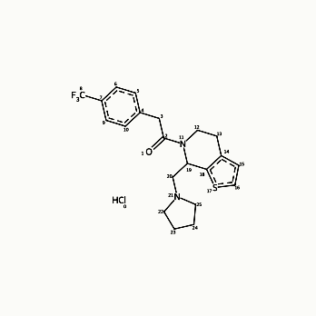 Cl.O=C(Cc1ccc(C(F)(F)F)cc1)N1CCc2ccsc2C1CN1CCCC1